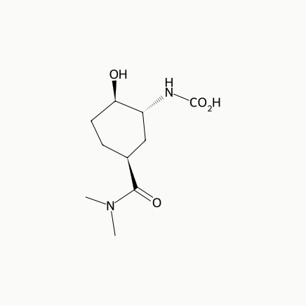 CN(C)C(=O)[C@H]1CC[C@@H](O)[C@H](NC(=O)O)C1